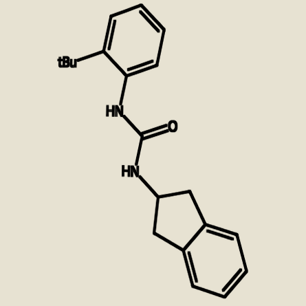 CC(C)(C)c1ccccc1NC(=O)NC1Cc2ccccc2C1